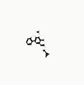 O=C(O)Nc1c(F)c(-c2c(Cl)cccc2Cl)cc2cc(NC(=O)C3CC3F)ncc12